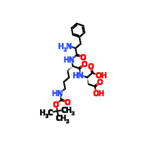 CC(C)(C)OC(=O)NCCCC[C@H](NC(=O)[C@@H](N)Cc1ccccc1)C(=O)N[C@@H](CC(=O)O)C(=O)O